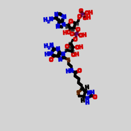 Nc1nc2c(nc(SCCNC(=O)CCCC[C@@H]3SC[C@@H]4NC(=O)N[C@@H]43)n2[C@@H]2O[C@H](COP(=O)(O)O[C@H]3[C@@H](O)[C@H](n4cnc5c(N)ncnc54)O[C@@H]3COP(=O)(O)O)[C@@H](O)[C@H]2O)c(=O)[nH]1